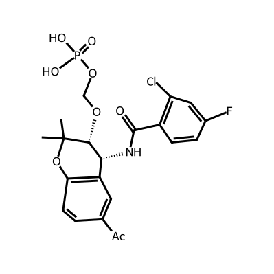 CC(=O)c1ccc2c(c1)[C@@H](NC(=O)c1ccc(F)cc1Cl)[C@@H](OCOP(=O)(O)O)C(C)(C)O2